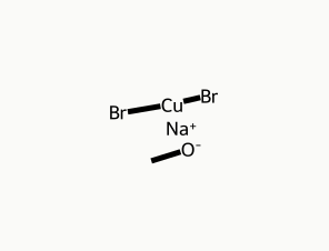 C[O-].[Br][Cu][Br].[Na+]